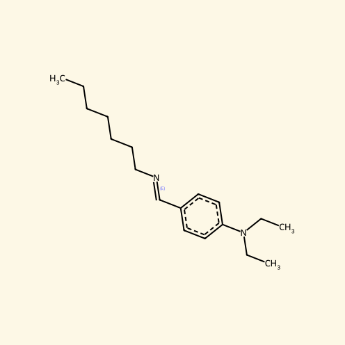 CCCCCCC/N=C/c1ccc(N(CC)CC)cc1